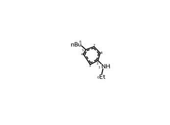 [CH2]CNc1ccc(CCCC)cc1